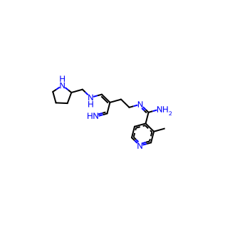 Cc1cnccc1/C(N)=N\CC/C(C=N)=C/NCC1CCCN1